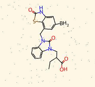 Bc1cc(Cn2c(=O)n(CC(CC)C(=O)O)c3ccccc32)c2sc(=O)[nH]c2c1